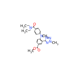 CCN(CC)C(=O)c1ccc(N(C)c2ccc(C(=O)OC)cc2-c2nnn(C)n2)cc1